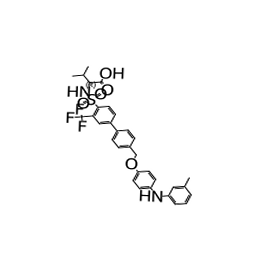 Cc1cccc(Nc2ccc(OCc3ccc(-c4ccc(S(=O)(=O)N[C@@H](C(=O)O)C(C)C)c(C(F)(F)F)c4)cc3)cc2)c1